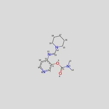 CN(C)C(=O)Oc1cnccc1N=CN1CCCCC1